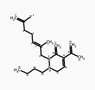 C=C(F)CC/C=C(\C)CN1C(=C)C(C(=C)C)=CCN1CCCC